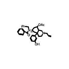 C=CCN1CCC2(c3cccc(O)c3)C[C@H](N(CC(C)C)C(=O)c3ccccc3)CC(OC(C)=O)C2C1